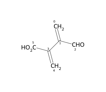 C=C(C=O)C(=C)C(=O)O